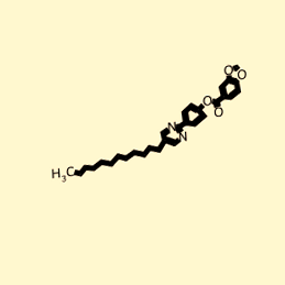 CCCCCCCCCCCCc1cnc(-c2ccc(OC(=O)c3ccc4c(c3)OCO4)cc2)nc1